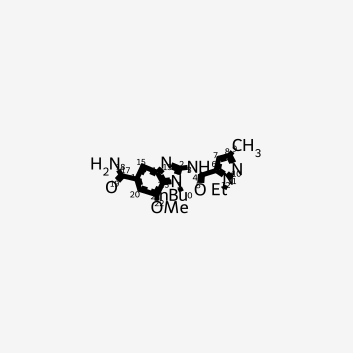 CCCCn1c(NC(=O)c2cc(C)nn2CC)nc2cc(C(N)=O)cc(OC)c21